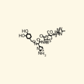 Cc1nnn(SCC2=C(C(=O)O)N3C(=O)C(NC(=O)/C(=N\OCc4ccc(O)c(O)c4)c4csc(N)n4)[C@@H]3SC2)n1